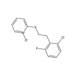 [O-][n+]1ccccc1SCCc1c(F)cccc1Cl